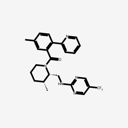 Cc1ccc(-c2ccccn2)c(C(=O)N2CCC[C@@H](C)[C@H]2CNc2ncc(C(F)(F)F)cn2)c1